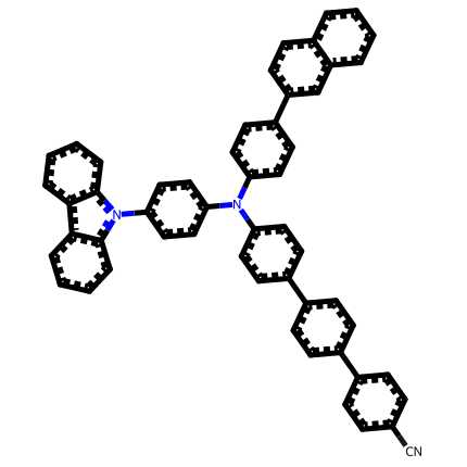 N#Cc1ccc(-c2ccc(-c3ccc(N(c4ccc(-c5ccc6ccccc6c5)cc4)c4ccc(-n5c6ccccc6c6ccccc65)cc4)cc3)cc2)cc1